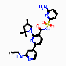 CC(C)CNc1cc(-c2ccc(C(=O)NS(=O)(=O)c3cccc(N)n3)c(N3CC(C)CC3(C)C)n2)ccn1